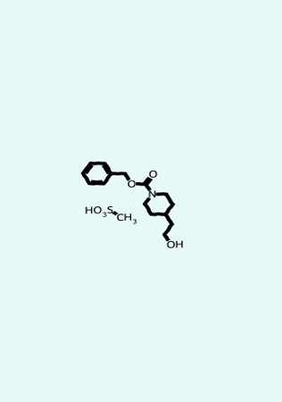 CS(=O)(=O)O.O=C(OCc1ccccc1)N1CCC(CCO)CC1